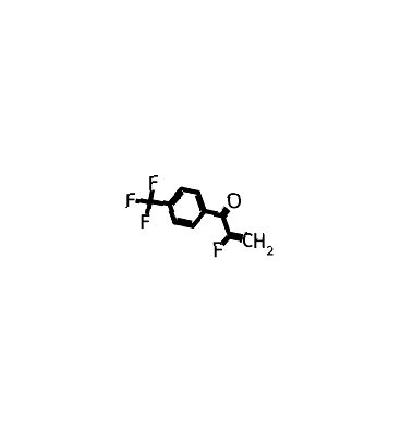 C=C(F)C(=O)c1ccc(C(F)(F)F)cc1